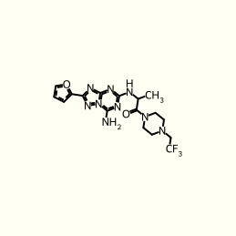 CC(Nc1nc(N)n2nc(-c3ccco3)nc2n1)C(=O)N1CCN(CC(F)(F)F)CC1